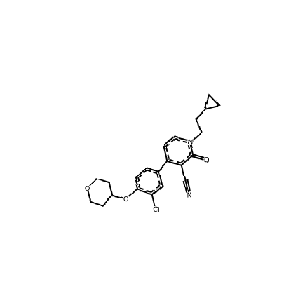 N#Cc1c(-c2ccc(OC3CCOCC3)c(Cl)c2)ccn(CCC2CC2)c1=O